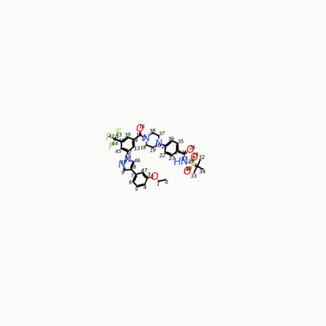 CCOc1cccc(-c2cnn(-c3cc(C(=O)N4CCN(c5ccc(C(=O)NS(=O)(=O)C(C)(C)C)cc5)CC4)cc(C(F)(F)F)c3)c2)c1